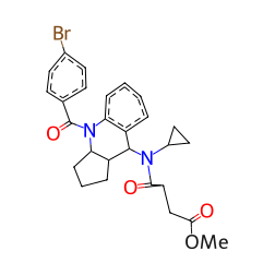 COC(=O)CCC(=O)N(C1CC1)C1c2ccccc2N(C(=O)c2ccc(Br)cc2)C2CCCC21